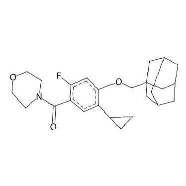 O=C(c1cc(C2CC2)c(OCC23CC4CC(CC(C4)C2)C3)cc1F)N1CCOCC1